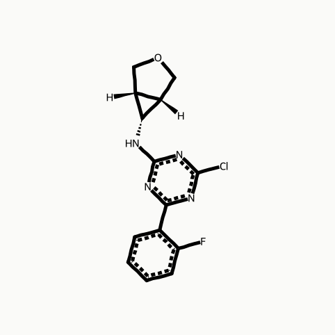 Fc1ccccc1-c1nc(Cl)nc(N[C@@H]2[C@@H]3COC[C@@H]32)n1